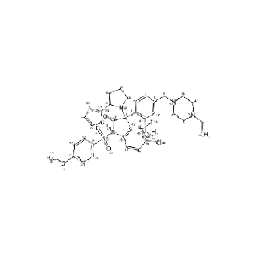 CCN1CCN(Cc2ccc(C3(N4CCCC4c4ncco4)C(=O)N(S(=O)(=O)c4ccc(OC)cc4)c4ccc(Cl)c(F)c43)c(OC)c2)CC1